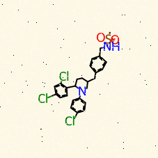 CS(=O)(=O)NCc1ccc(CC2CCC(c3ccc(Cl)cc3Cl)N(c3ccc(Cl)cc3)C2)cc1